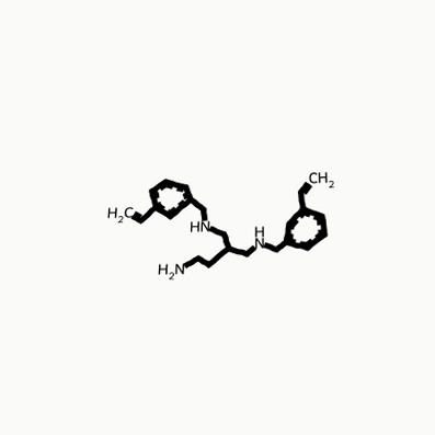 C=Cc1cccc(CNCC(CCN)CNCc2cccc(C=C)c2)c1